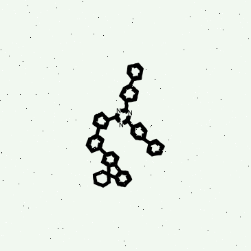 c1ccc(-c2ccc(-c3nc(-c4ccc(-c5ccccc5)cc4)nc(-c4cccc(-c5cccc(-c6ccc7c(c6)C6(CCCCC6)c6ccccc6-7)c5)c4)n3)cc2)cc1